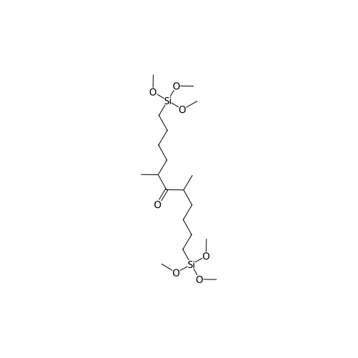 CO[Si](CCCCC(C)C(=O)C(C)CCCC[Si](OC)(OC)OC)(OC)OC